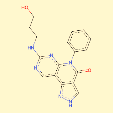 O=c1c2c[nH]nc2c2cnc(NCCCO)nc2n1-c1ccccc1